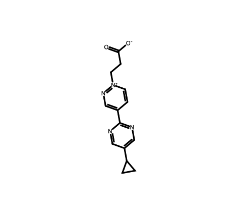 O=C([O-])CC[n+]1ccc(-c2ncc(C3CC3)cn2)cn1